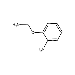 NCOc1ccccc1N